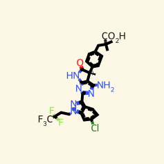 CC(C)(Cc1ccc([C@@]2(C)C(=O)Nc3nc(-c4nn(CCC(F)(F)C(F)(F)F)c5cc(Cl)ccc45)nc(N)c32)cc1)C(=O)O